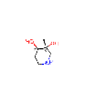 C[C@@]1(O)CNCC[C@H]1O